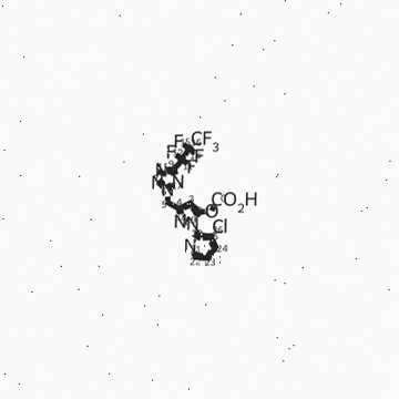 O=C(O)Oc1cc(Cn2nnc(C(F)(F)C(F)(F)C(F)(F)F)n2)nn1-c1ncccc1Cl